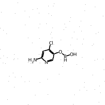 Nc1cc(Cl)c(OBO)cn1